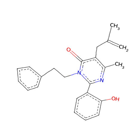 C=C(C)Cc1c(C)nc(-c2ccccc2O)n(CCc2ccccc2)c1=O